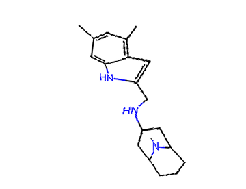 Cc1cc(C)c2cc(CNC3CC4CCCC(C3)N4C)[nH]c2c1